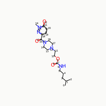 CC(C)CCCNC(=O)OCCN1CCN(C(=O)c2ccc(=O)n(C)n2)CC1